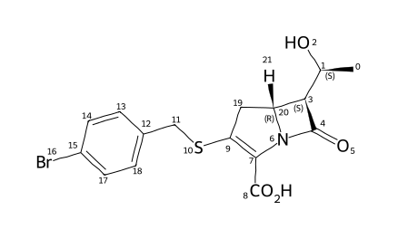 C[C@H](O)[C@H]1C(=O)N2C(C(=O)O)=C(SCc3ccc(Br)cc3)C[C@H]12